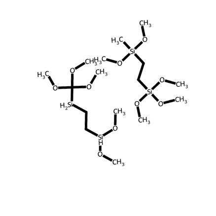 CO[SiH](CC[SiH2]C(OC)(OC)OC)OC.CO[Si](C)(CC[Si](OC)(OC)OC)OC